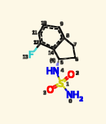 NS(=O)(=O)N[C@H]1CCc2cccc(F)c21